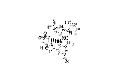 Cc1cc(C#N)cc(C(=O)NC2(C)CS(=O)(=O)C2)c1NC(=O)C1CC(C(F)F)=NN1c1ncccc1Cl